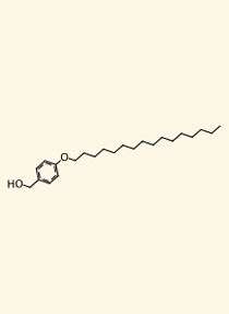 CCCCCCCCCCCCCCCCOc1ccc(CO)cc1